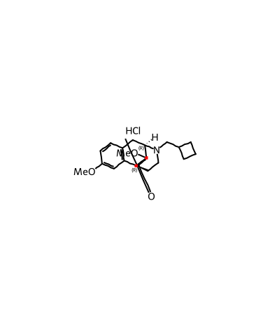 COc1ccc2c(c1)[C@]13CCN(CC4CCC4)[C@H](C2)C1(OC)CCC(=O)C3.Cl